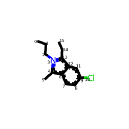 CCCn1c(C)c2ccc(Cl)cc2c1CC